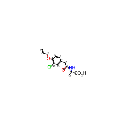 C=CCOc1ccc(CC(=O)N[C@@H](C)C(=O)O)cc1Cl